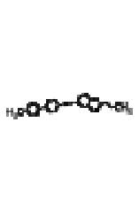 CCCc1ccc2cc(C#Cc3ccc(-c4ccc(C)cc4)cc3)ccc2c1